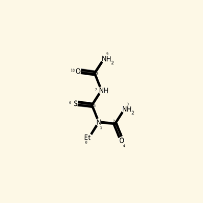 CCN(C(N)=O)C(=S)NC(N)=O